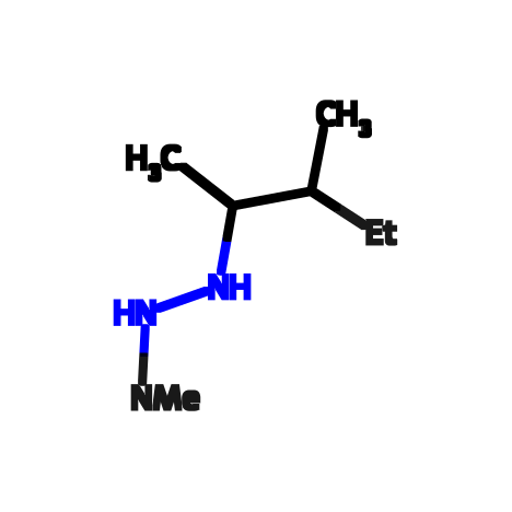 CCC(C)C(C)NNNC